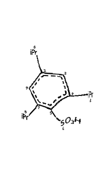 CC(C)c1cc(C(C)C)c(S(=O)(=O)O)c(C(C)C)c1